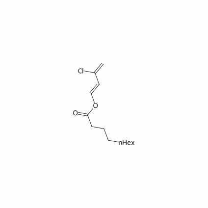 C=C(Cl)C=COC(=O)CCCCCCCCC